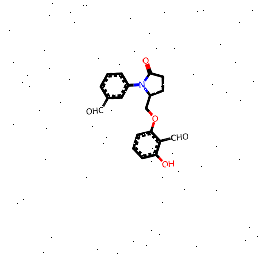 O=Cc1cccc(N2C(=O)CCC2COc2cccc(O)c2C=O)c1